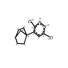 Clc1cc(C23CCC(CC2)C3)c(Cl)nn1